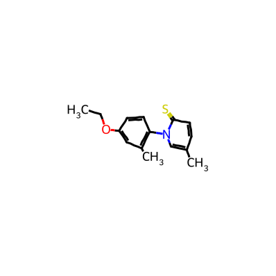 CCOc1ccc(-n2cc(C)ccc2=S)c(C)c1